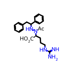 CC(=O)N(NC(Cc1ccccc1)c1ccccc1)[C@@H](CCCNC(=N)N)C(=O)O